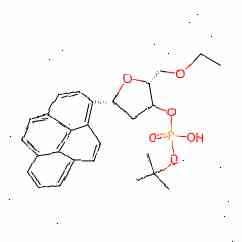 CCOC[C@H]1O[C@@H](c2ccc3ccc4cccc5ccc2c3c45)CC1OP(=O)(O)OC(C)(C)C